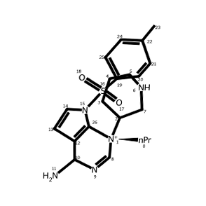 CCC[N@@+]1(C2CCCNC2)C=NC(N)c2ccn(S(=O)(=O)c3ccc(C)cc3)c21